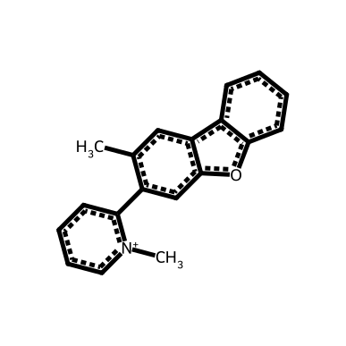 Cc1cc2c(cc1-c1cccc[n+]1C)oc1ccccc12